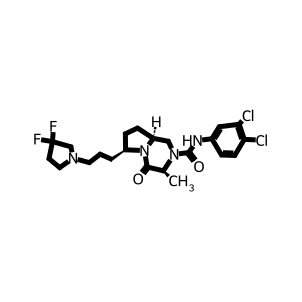 C[C@H]1C(=O)N2[C@@H](CCCN3CCC(F)(F)C3)CC[C@H]2CN1C(=O)Nc1ccc(Cl)c(Cl)c1